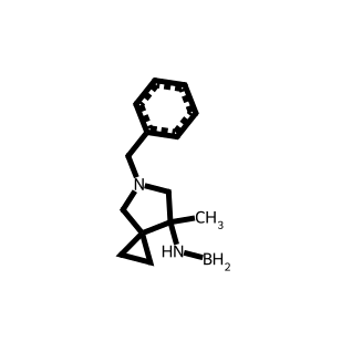 BNC1(C)CN(Cc2ccccc2)CC12CC2